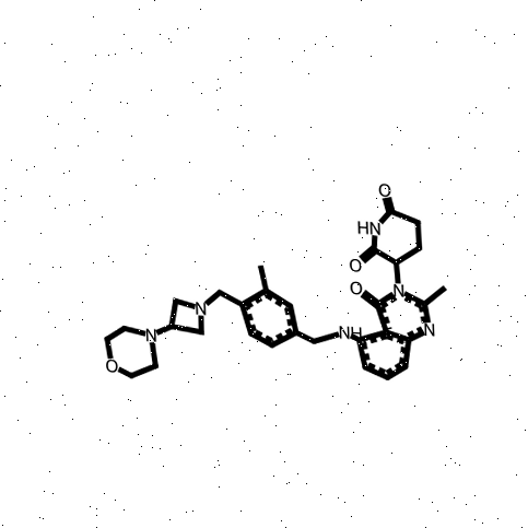 Cc1cc(CNc2cccc3nc(C)n(C4CCC(=O)NC4=O)c(=O)c23)ccc1CN1CC(N2CCOCC2)C1